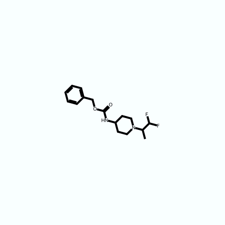 CC(C(F)F)N1CCC(NC(=O)OCc2ccccc2)CC1